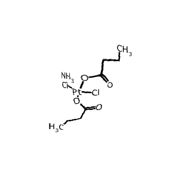 CCCC(=O)[O][Pt]([Cl])([Cl])[O]C(=O)CCC.N